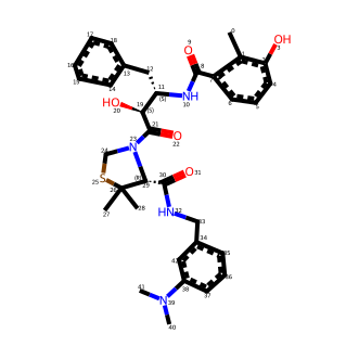 Cc1c(O)cccc1C(=O)N[C@@H](Cc1ccccc1)[C@H](O)C(=O)N1CSC(C)(C)[C@H]1C(=O)NCc1cccc(N(C)C)c1